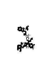 C=C(CC(Cc1ccccc1)NC(=C)CC)NCOCC(CCC)c1c2c(nc3cc(F)c(C)cc13)C1=CC3=C(CCC(=C)C3CC)C(=C)N1C2